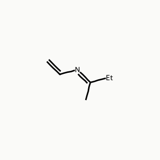 C=C/N=C(\C)CC